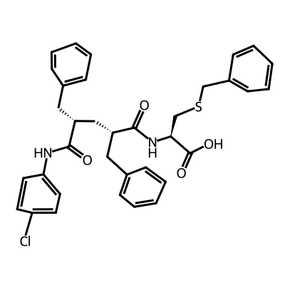 O=C(Nc1ccc(Cl)cc1)[C@H](Cc1ccccc1)C[C@@H](Cc1ccccc1)C(=O)N[C@@H](CSCc1ccccc1)C(=O)O